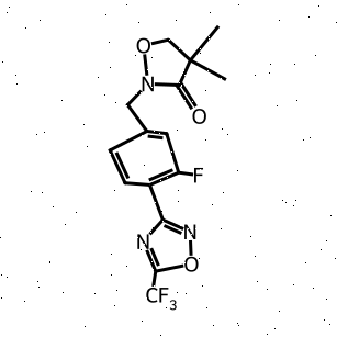 CC1(C)CON(Cc2ccc(-c3noc(C(F)(F)F)n3)c(F)c2)C1=O